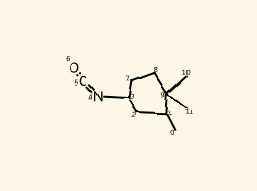 CC1CC(N=C=O)CCC1(C)C